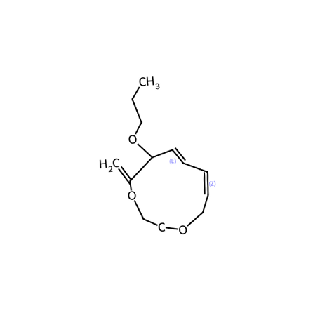 C=C1OCCOC/C=C\C=C\C1OCCC